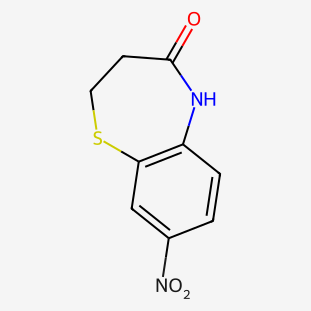 O=C1CCSc2cc([N+](=O)[O-])ccc2N1